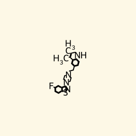 CC1=C(C)c2cc(CCN3CCN(c4nsc5ccc(F)cc45)CC3)ccc2NC1